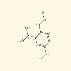 CCOc1ncc(SC)cc1C(=O)O